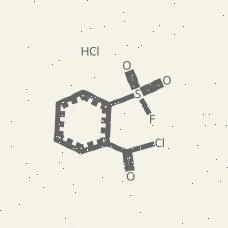 Cl.O=C(Cl)c1ccccc1S(=O)(=O)F